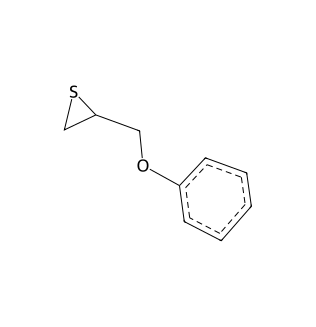 c1ccc(OCC2CS2)cc1